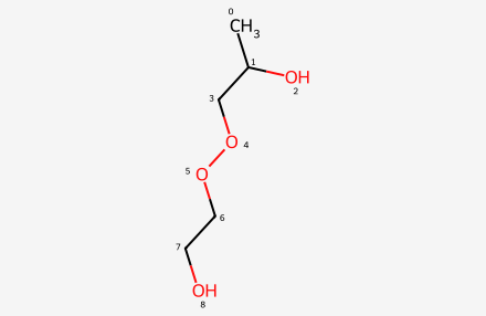 CC(O)COOCCO